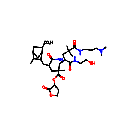 CC1C2CC(C(=O)O)C(C2)C1CC(CC(C)(CC(CC(C)(C)C(=O)NCCCN(C)C)C(=O)NCCO)C(=O)OC1CCOC1=O)C(N)=O